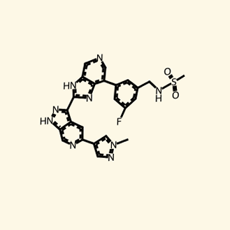 Cn1cc(-c2cc3c(-c4nc5c(-c6cc(F)cc(CNS(C)(=O)=O)c6)cncc5[nH]4)n[nH]c3cn2)cn1